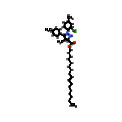 CCCCCCC/C=C/CCCCCCCCOC(=O)c1nn(-c2ccc(C)cc2Cl)c(-c2ccc(C)cc2)c1C